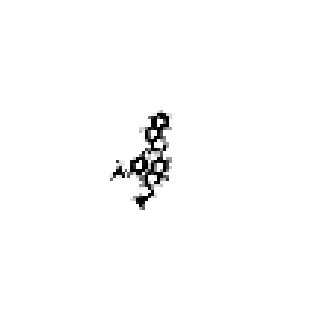 CC(=O)Oc1cccc([C@@]23CCN(CC4CC4)C[C@H]2CC[C@@H](N(C)C(=O)c2ccc4ccccc4c2)C3)c1